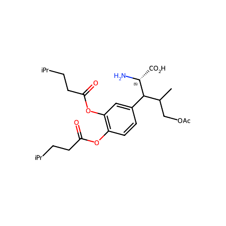 CC(=O)OCC(C)C(c1ccc(OC(=O)CCC(C)C)c(OC(=O)CCC(C)C)c1)[C@H](N)C(=O)O